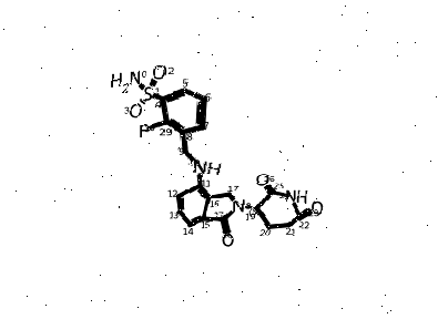 NS(=O)(=O)c1cccc(CNc2cccc3c2CN([C@H]2CCC(=O)NC2=O)C3=O)c1F